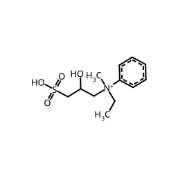 CC[N+](C)(CC(O)CS(=O)(=O)O)c1ccccc1